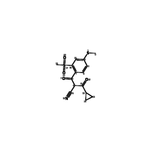 CSc1ccc(C(=O)C(C#N)C(=O)C2CC2)c(S(C)(=O)=O)c1